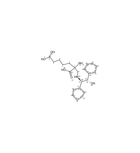 NC(CCCCB(O)O)(CN[C@H](c1ccccc1)[C@@H](O)c1ccccc1)C(=O)O